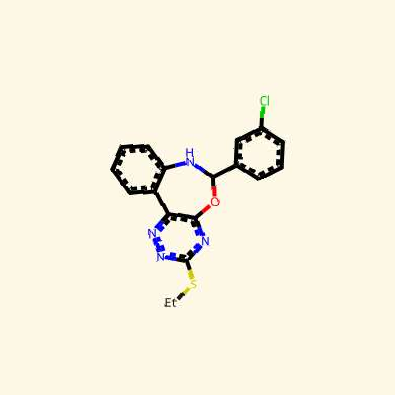 CCSc1nnc2c(n1)OC(c1cccc(Cl)c1)Nc1ccccc1-2